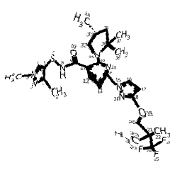 Cc1nn(C)cc1SNC(=O)c1ccc(-n2ccc(OCC(C)(C)C(F)(F)F)n2)nc1N1C[C@H](C)CC1(C)C